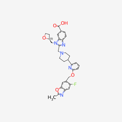 Cc1nc2cc(F)c(COc3cccc(C4CCN(Cc5nc6ccc(C(=O)O)cc6n5C[C@@H]5CCO5)CC4)n3)cc2o1